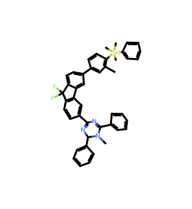 Cc1cc(-c2ccc3c(c2)-c2cc(C4=NC(c5ccccc5)N(C)C(c5ccccc5)=N4)ccc2C3(F)F)ccc1[SH](C)(C)(C)c1ccccc1